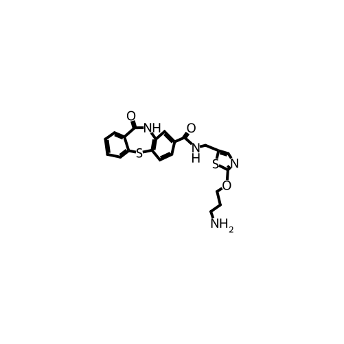 NCCCOc1ncc(CNC(=O)c2ccc3c(c2)NC(=O)c2ccccc2S3)s1